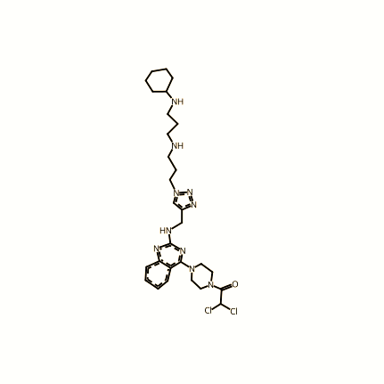 O=C(C(Cl)Cl)N1CCN(c2nc(NCc3cn(CCCNCCCNC4CCCCC4)nn3)nc3ccccc23)CC1